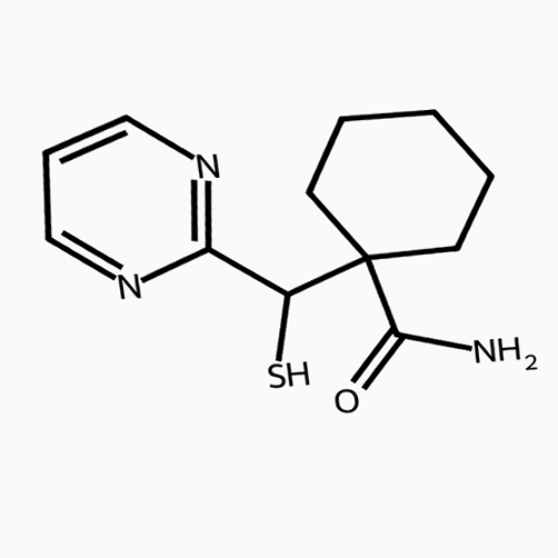 NC(=O)C1(C(S)c2ncccn2)CCCCC1